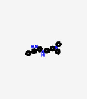 Nc1ccc(Nc2ccc(-c3ccc4c(c3)c3ccccc3n4-c3ccccc3)cc2)cc1-c1ccc(-c2ccccc2)cc1